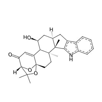 CC1(C)O[C@@]23CC[C@@]4(C)C(C2=CC(=O)[C@@H]1O3)[C@@H](O)C[C@H]1Cc2c([nH]c3ccccc23)[C@@]14C